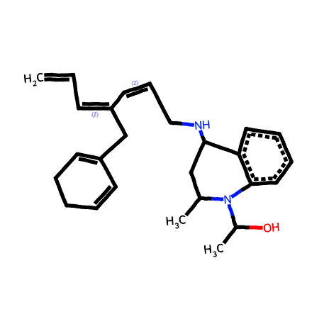 C=C/C=C(\C=C/CNC1CC(C)N(C(C)O)c2ccccc21)CC1=CCCC=C1